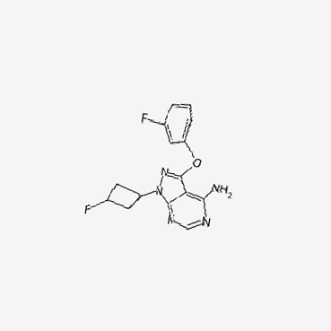 Nc1ncnc2c1c(Oc1cccc(F)c1)nn2C1CC(F)C1